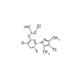 CCOC(C=O)Oc1cc(-n2nc(C)c(Cl)c2C)c(F)cc1Cl